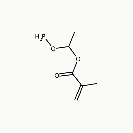 C=C(C)C(=O)OC(C)OP